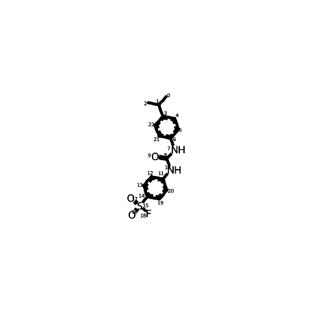 CC(C)c1ccc(NC(=O)Nc2ccc(S(=O)(=O)F)cc2)cc1